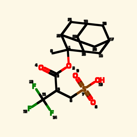 CC1(OC(=O)C(CS(=O)(=O)O)C(F)(F)F)C2CC3CC(C2)CC1C3